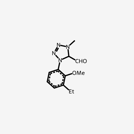 CCc1cccc(N2N=NN(C)C2C=O)c1OC